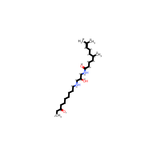 CCC(=O)CCCCCCCNCC(O)CNC(=O)CCCC(C)CCC=C(C)C